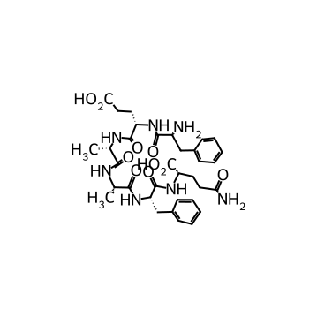 C[C@H](NC(=O)[C@H](C)NC(=O)[C@H](CCC(=O)O)NC(=O)[C@@H](N)Cc1ccccc1)C(=O)N[C@@H](Cc1ccccc1)C(=O)N[C@@H](CCC(N)=O)C(=O)O